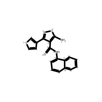 Nc1onc(-c2ccsc2)c1C(=O)Nc1cccc2ccccc12